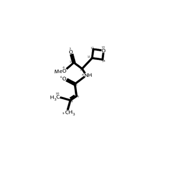 COC(=O)C(NC(=O)C=C(C)C)C1COC1